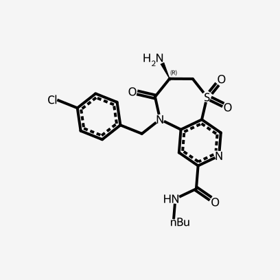 CCCCNC(=O)c1cc2c(cn1)S(=O)(=O)C[C@H](N)C(=O)N2Cc1ccc(Cl)cc1